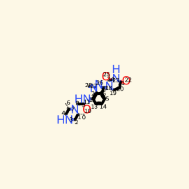 C[C@@H]1CNC[C@H](C)N1CC(=O)Nc1cccc2c(N3CCC(=O)NC3=O)nn(C)c12